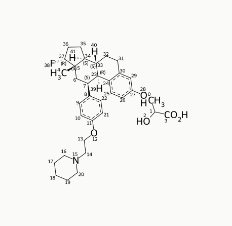 CC(O)C(=O)O.C[C@]12C[C@H](c3ccc(OCCN4CCCCC4)cc3)[C@@H]3c4ccc(O)cc4CC[C@H]3[C@@H]1CC[C@H]2F